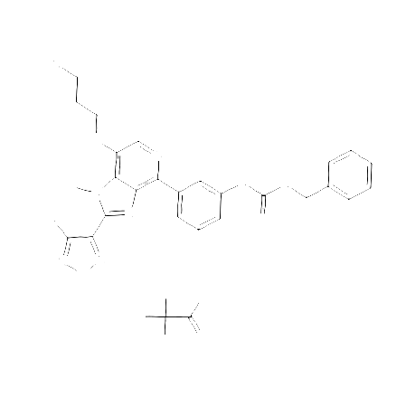 CCn1c(-c2nonc2N)nc2c(-c3cccc(NC(=O)NCc4ccccc4)c3)ncc(OCCCN)c21.O=C(O)C(F)(F)F